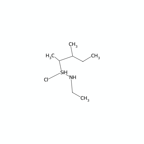 CCN[SiH](Cl)C(C)C(C)CC